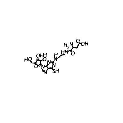 NC(CC(=O)O)C(=O)NCCCNc1nc(S)c2ncn([C@@H]3O[C@H](CO)[C@H](O)C3O)c2n1